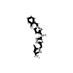 Cc1cc(C(F)(F)F)nn1Cc1nnc(Nc2ccn(Cc3ccccc3Cl)n2)s1